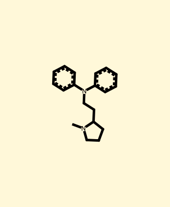 CN1CCCC1CCN(c1ccccc1)c1ccccc1